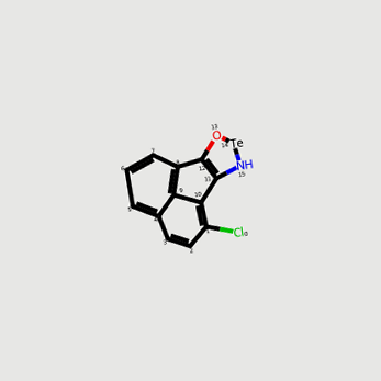 Clc1ccc2cccc3c2c1C1=C3O[Te]N1